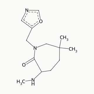 CNC1CCC(C)(C)CN(Cc2cnco2)C1=O